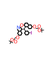 CC(C)(C)OC(=O)COc1ccc2c3c(ccc2c1)Oc1ncc2cc(OCC(=O)OC(C)(C)C)ccc2c1C3c1cccc(I)c1